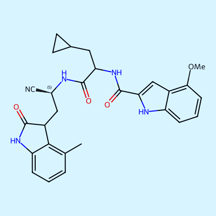 COc1cccc2[nH]c(C(=O)NC(CC3CC3)C(=O)N[C@H](C#N)CC3C(=O)Nc4cccc(C)c43)cc12